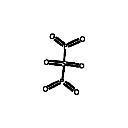 O=P(=O)S(=O)(=O)P(=O)=O